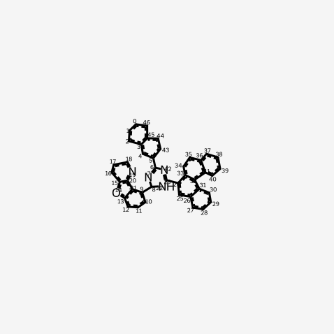 c1ccc2cc(C3=NC(c4cccc5oc6cccnc6c45)NC(c4cc5ccccc5c5c4ccc4ccccc45)=N3)ccc2c1